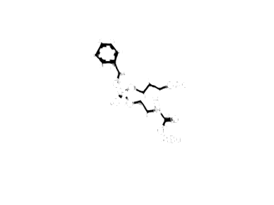 CC(=O)OCCCOP(=O)(OCCNC(=O)OC(C)(C)C)OCc1ccccc1